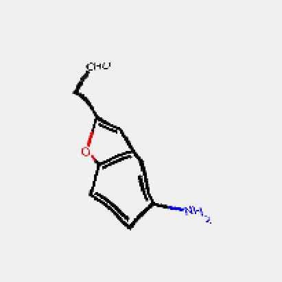 Nc1ccc2oc(CC=O)cc2c1